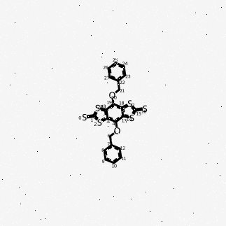 S=c1sc2c(OCc3ccccc3)c3sc(=S)sc3c(OCc3ccccc3)c2s1